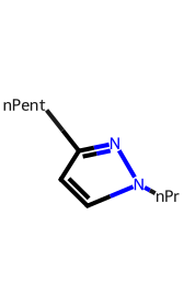 [CH2]CCCCc1ccn(CCC)n1